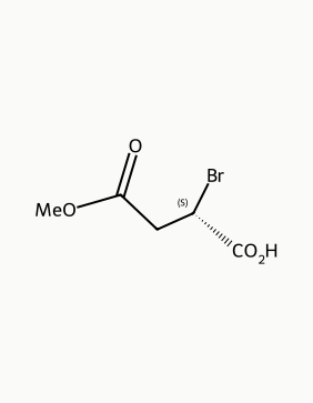 COC(=O)C[C@H](Br)C(=O)O